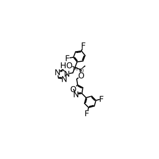 C[C@@H](OCc1cc(-c2cc(F)cc(F)c2)no1)[C@](O)(Cn1cncn1)c1ccc(F)cc1F